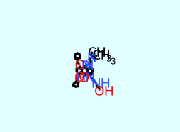 CCN(CC)CCn1nc2c3c(c(NCCNCCO)ccc31)C(=O)c1c(OCc3ccccc3)ccc(OCc3ccccc3)c1-2